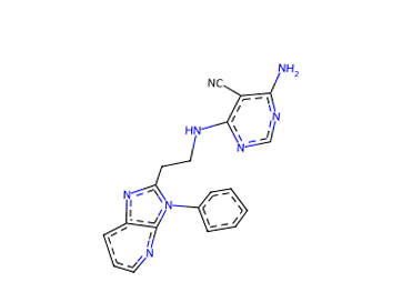 N#Cc1c(N)ncnc1NCCc1nc2cccnc2n1-c1ccccc1